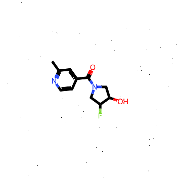 Cc1cc(C(=O)N2CC(O)C(F)C2)ccn1